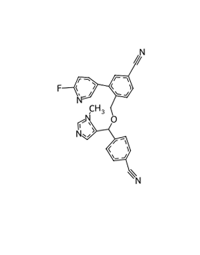 Cn1cncc1C(OCc1ccc(C#N)cc1-c1ccc(F)nc1)c1ccc(C#N)cc1